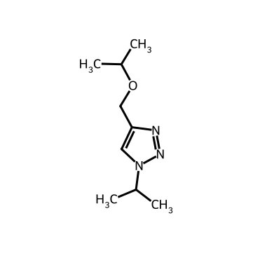 CC(C)OCc1cn(C(C)C)nn1